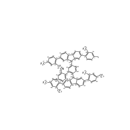 Cc1ccc(-c2ccc3c4ccc(-c5ccc(C(F)(F)F)cc5C(F)(F)F)cc4n(-c4cc(-c5ccccc5C#N)c(-n5c6cc(-c7ccc(C(F)(F)F)cc7C(F)(F)F)ccc6c6ccc(-c7ccc(C(F)(F)F)cc7C(F)(F)F)cc65)cn4)c3c2)c(C(F)(F)F)c1